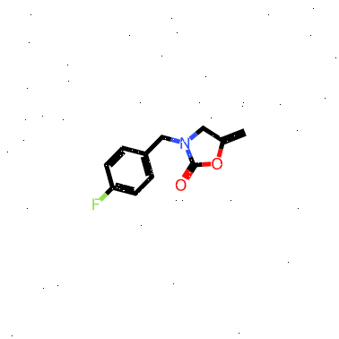 C=C1CN(Cc2ccc(F)cc2)C(=O)O1